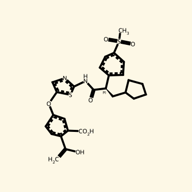 C=C(O)c1ccc(Oc2cnc(NC(=O)[C@H](CC3CCCC3)c3ccc(S(C)(=O)=O)cc3)s2)cc1C(=O)O